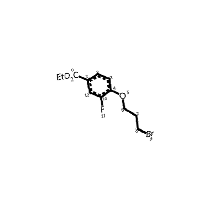 CCOC(=O)c1ccc(OCCCBr)c(F)c1